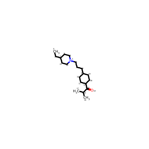 CCC1CCN(CCCC2CCC(C(=O)C(C)C)CC2)CC1